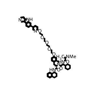 CN[C@@H](C)C(=O)N[C@H](C(=O)N1Cc2cc(OCCOCCOCCOCCOc3ccc(-c4ccc5c(c4)[nH]c4ccncc45)cn3)ccc2C[C@@H]1C(=O)N[C@H]1CCCc2ccccc21)C1CCCCC1